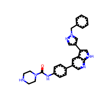 O=C(Nc1ccc(-c2cnc3[nH]cc(-c4cnn(Cc5ccccc5)c4)c3c2)cc1)N1CCNCC1